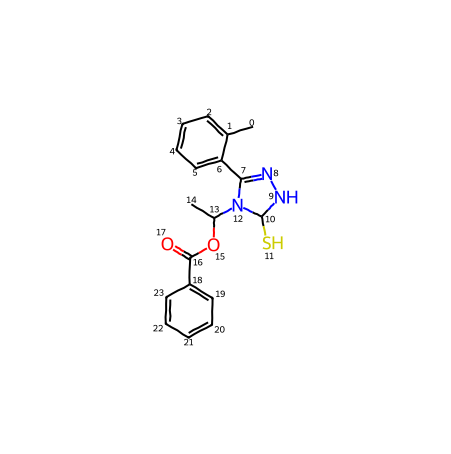 Cc1ccccc1C1=NNC(S)N1C(C)OC(=O)c1ccccc1